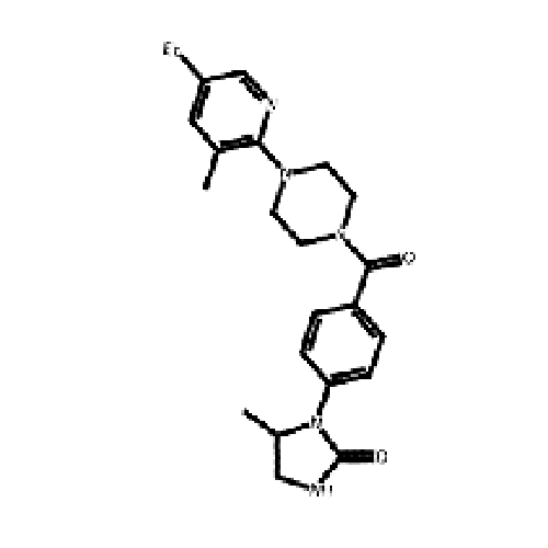 CCc1cnc(N2CCN(C(=O)c3ccc(N4C(=O)NCC4C)cc3)CC2)c(C)c1